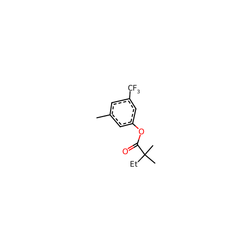 CCC(C)(C)C(=O)Oc1cc(C)cc(C(F)(F)F)c1